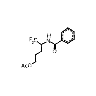 CC(=O)OCCCC(NC(=O)c1ccccc1)C(F)(F)F